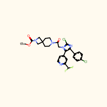 CC(C)(C)OC(=O)N1CC2(CCN(C(=O)Cn3c(Cl)nc(-c4ccc(Cl)cc4)c3-c3ccnc(C(F)F)c3)CC2)C1